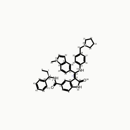 CC[C@@H](NC(=O)c1ccc2c(c1)/C(=C(/Nc1ccc(CN3CCCC3)cc1)c1ccc3c(ccn3C)c1)C(=O)N2)c1ccccc1